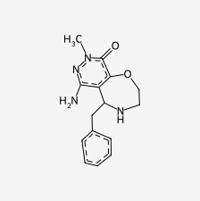 Cn1nc(N)c2c(c1=O)OCCNC2Cc1ccccc1